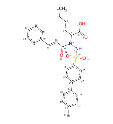 CCCCC(C(=O)O)N(NS(=O)(=O)c1ccc(-c2ccc(Br)cc2)cc1)C(=O)C=Cc1ccccc1